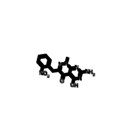 Cn1nc(Cc2ccccc2[N+](=O)[O-])c(=O)c2c(O)nc(N)nc21